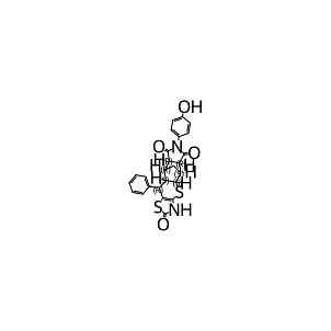 O=C1[C@@H]2[C@H]3C[C@H]([C@@H]4Sc5[nH]c(=O)sc5[C@@H](c5ccccc5)[C@H]34)[C@@H]2C(=O)N1c1ccc(O)cc1